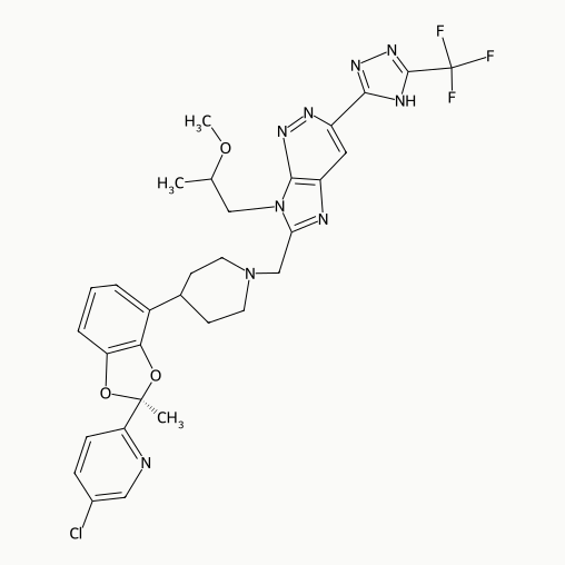 COC(C)Cn1c(CN2CCC(c3cccc4c3O[C@@](C)(c3ccc(Cl)cn3)O4)CC2)nc2cc(-c3nnc(C(F)(F)F)[nH]3)nnc21